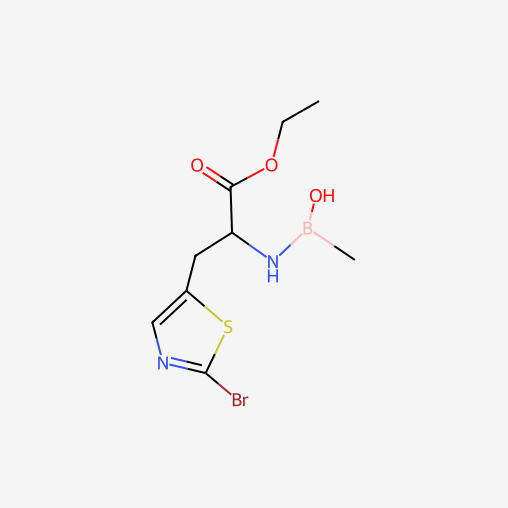 CCOC(=O)C(Cc1cnc(Br)s1)NB(C)O